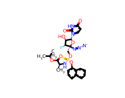 CC(C)OC(=O)[C@H](C)NP(=S)(OC[C@@]1(N=[N+]=[N-])O[C@@H](n2ccc(=O)[nH]c2=O)[C@H](O)[C@@H]1F)Oc1cccc2ccccc12